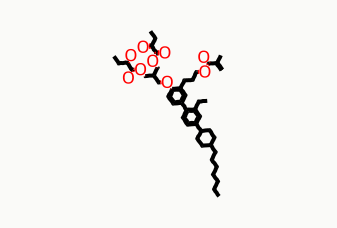 C=C(C)C(=O)OCCCc1cc(-c2ccc(C3CCC(CCCCCCC)CC3)cc2CC)ccc1OCC(COC(=O)C(=O)CC)COC(=O)C(=O)CC